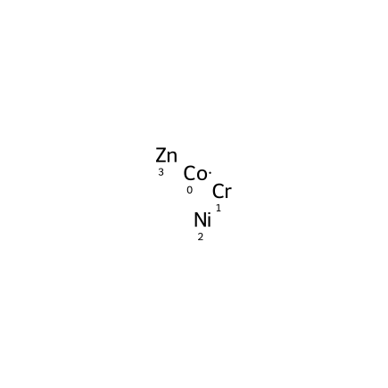 [Co].[Cr].[Ni].[Zn]